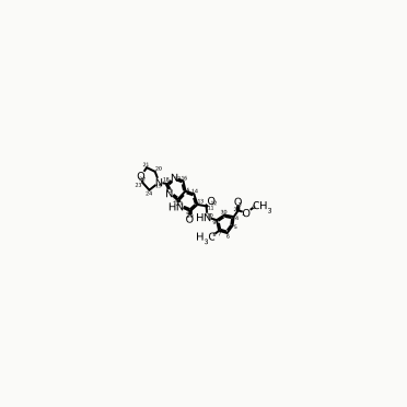 COC(=O)c1ccc(C)c(NC(=O)c2cc3cnc(N4CCOCC4)nc3[nH]c2=O)c1